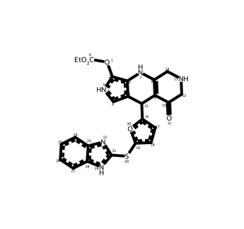 CCOC(=O)Oc1[nH]cc2c1NC1=C(C(=O)CNC1)C2c1ccc(Sc2nc3ccccc3[nH]2)o1